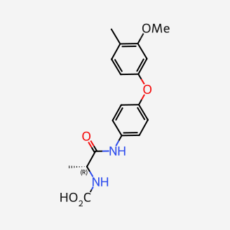 COc1cc(Oc2ccc(NC(=O)[C@@H](C)NC(=O)O)cc2)ccc1C